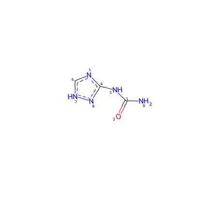 NC(=O)Nc1nc[nH]n1